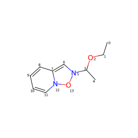 CCOC(C)N1C=C2C=CC=CN2O1